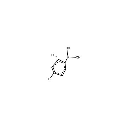 C.OB(O)c1ccc(S)cc1